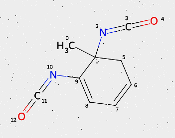 CC1(N=C=O)CC=CC=C1N=C=O